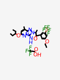 CCOc1cc(C(=O)C(C)n2nc3c(C)cc(OC(CC)CC)nn3c2=N)cc(S(F)(F)(F)(F)F)c1.O=C(O)C(F)(F)F